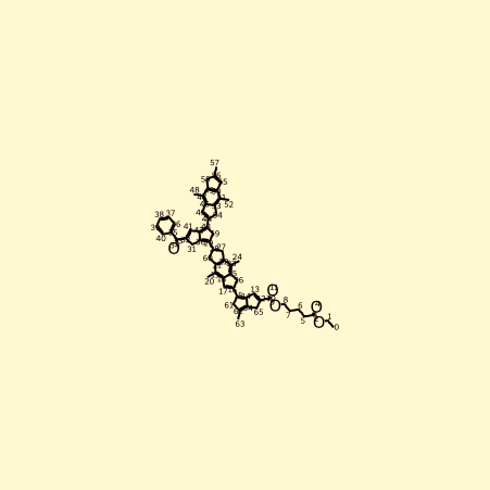 CCOC(=O)CCCCOC(=O)C1=CC2=C(C3=Cc4c(C)c5c(c(C)c4C3)CC(C3=C4CC(C(=O)c6ccccc6)=CC4=C(C4=Cc6c(C)c7c(c(C)c6C4)C=C(C)C7)C3)C5)CC(C)=C2C1